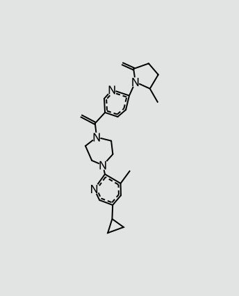 C=C(c1ccc(N2C(=C)CCC2C)nc1)N1CCN(c2ncc(C3CC3)cc2C)CC1